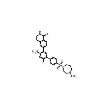 CN1CCCN(S(=O)(=O)c2ccc(-c3cc(-c4ccc5c(c4)CCNC5=O)c(N)nc3F)cc2)CC1